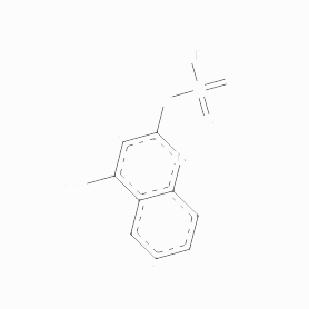 O=S(=O)(Oc1cc(C(F)(F)F)c2ccccc2n1)C(F)(F)F